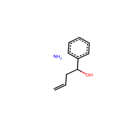 C=CCC(O)c1ccccc1.N